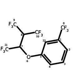 FC(F)(F)c1cccc(OC(C(C(F)(F)F)C(F)(F)F)C(F)(F)F)c1